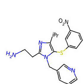 CC(C)c1nc(CCN)n(Cc2cccnc2)c1Sc1cccc([N+](=O)[O-])c1